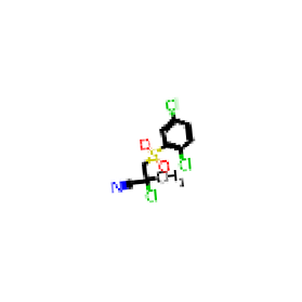 CC(Cl)(C#N)CS(=O)(=O)c1cc(Cl)ccc1Cl